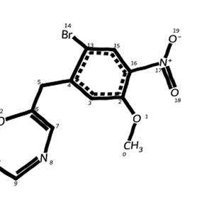 COc1cc(CC2=CN=CC=CO2)c(Br)cc1[N+](=O)[O-]